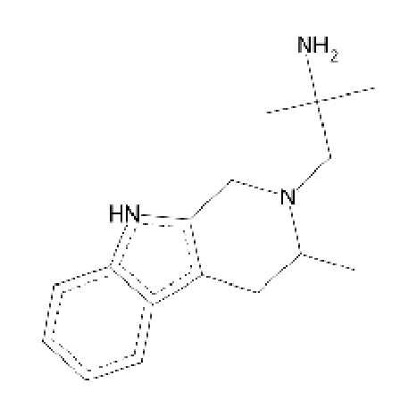 CC1Cc2c([nH]c3ccccc23)CN1CC(C)(C)N